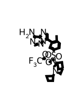 Cc1ccc(S(=O)(=O)N(OC(=O)C(F)(F)F)C23CC(CN(C4CCC4)C2)C3)cc1-c1cnc2c(N)ncnn12